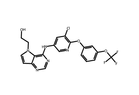 OCCn1ccc2ncnc(Nc3cnc(Oc4cccc(OC(F)(F)F)c4)c(Cl)c3)c21